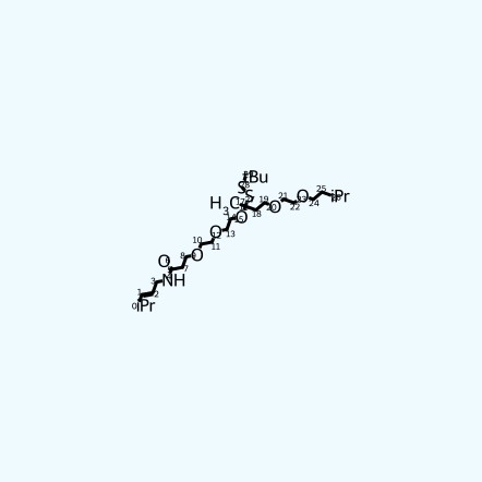 CC(C)/C=C/CNC(=O)CCOCCOCCOC(C)(CCOCCOCCC(C)C)SSC(C)(C)C